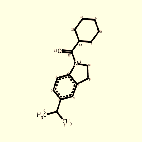 CC(C)c1ccc2c(c1)CCN2C(=O)C1CCCCC1